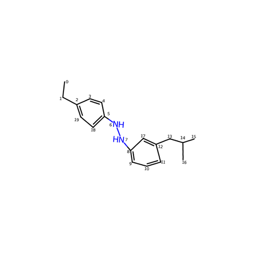 CCc1ccc(NNc2cccc(CC(C)C)c2)cc1